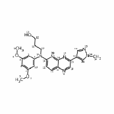 COc1cc(OC)cc(N(CCCO)c2ccc3ncc(-c4cnn(C)c4)nc3n2)c1